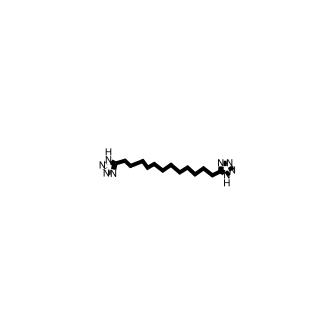 C(CCCCCCc1nnn[nH]1)CCCCCc1nnn[nH]1